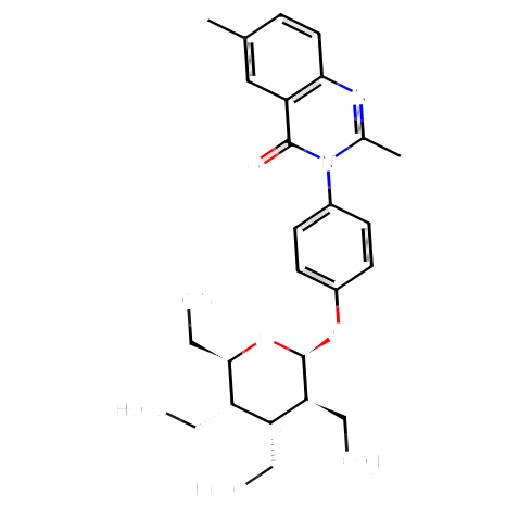 CC(=O)OC[C@H]1O[C@@H](Oc2ccc(-n3c(C)nc4ccc(C)cc4c3=O)cc2)[C@@H](CC(=O)O)[C@H](CC(=O)O)[C@@H]1CC(=O)O